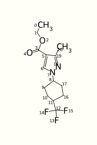 CCOC(=O)c1cn(C2CCC(C(F)(F)F)CC2)nc1C